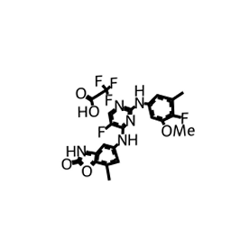 COc1cc(Nc2ncc(F)c(Nc3cc(C)c4oc(=O)[nH]c4c3)n2)cc(C)c1F.O=C(O)C(F)(F)F